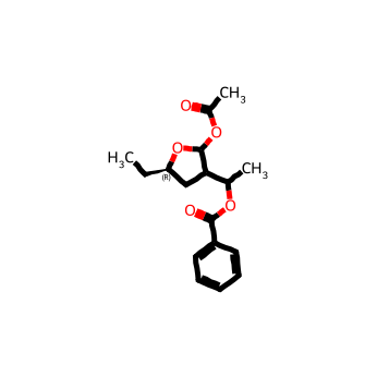 CC[C@@H]1CC(C(C)OC(=O)c2ccccc2)C(OC(C)=O)O1